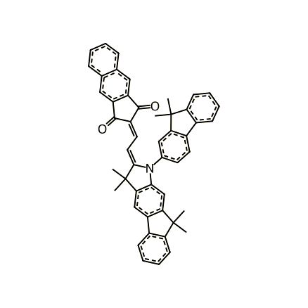 CC1(C)/C(=C/C=C2C(=O)c3cc4ccccc4cc3C2=O)N(c2ccc3c(c2)C(C)(C)c2ccccc2-3)c2cc3c(cc21)-c1ccccc1C3(C)C